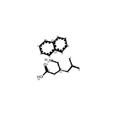 CC(C)C[C@H](CN)CC(=O)O.c1ccc2ccccc2c1